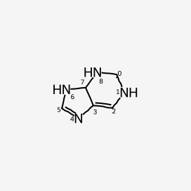 [CH]1NC=C2N=CNC2N1